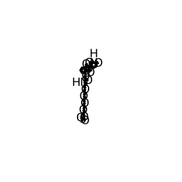 CS(=O)(=O)OCCOCCOCCOCCOCCNC(=O)COc1cccc2c1C(=O)N(C1CCC(=O)NC1=O)C2=O